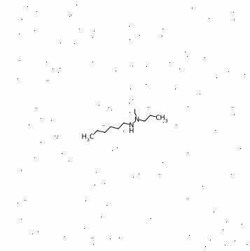 CCCCCCNN(I)CCC